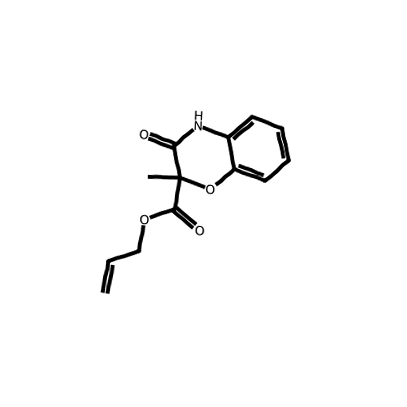 C=CCOC(=O)C1(C)Oc2ccccc2NC1=O